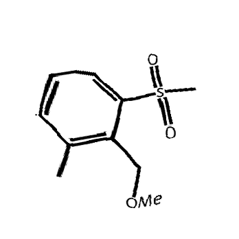 COCc1c(C)[c]ccc1S(C)(=O)=O